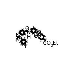 CCOC(=O)CC1CCN(S(=O)(=O)c2cccc(NC(=O)c3ccc4nc(C)n(-c5ccc(F)cc5)c4c3)c2)CC1